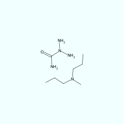 CCCN(C)CCC.NC(=O)N(N)N